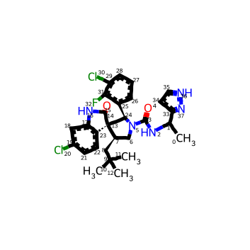 CC(NC(=O)N1C[C@@H](CC(C)(C)C)[C@@]2(C(=O)Nc3cc(Cl)ccc32)[C@H]1c1cccc(Cl)c1F)c1cc[nH]n1